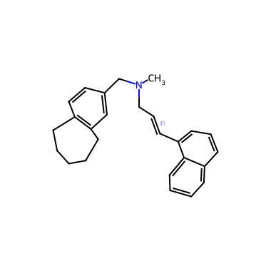 CN(C/C=C/c1cccc2ccccc12)Cc1ccc2c(c1)CCCCC2